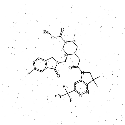 CCCC(F)(F)c1cc2c(nn1)C(C)(C)CN2C(=O)CN1C[C@@H](C)N(C(=O)OC(C)(C)C)C[C@@H]1CN1Cc2ccc(F)cc2C1=O